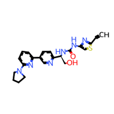 C#Cc1nc(NC(=O)N[C@@H](CO)c2ccc(-c3cccc(N4CCCC4)n3)cn2)cs1